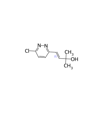 CC(C)(O)/C=C/c1ccc(Cl)nn1